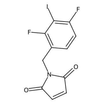 O=C1C=CC(=O)N1Cc1ccc(F)c(I)c1F